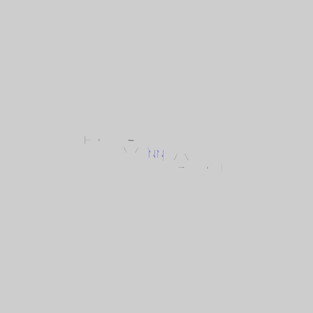 CCCc1ccc(C=NN=Cc2ccc(CCC)cc2)cc1